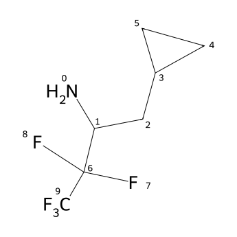 NC(CC1CC1)C(F)(F)C(F)(F)F